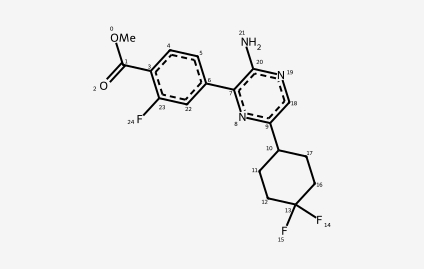 COC(=O)c1ccc(-c2nc(C3CCC(F)(F)CC3)cnc2N)cc1F